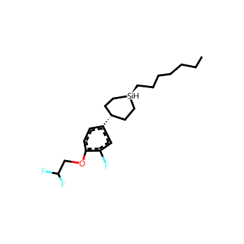 CCCCCCC[Si@H]1CC[C@H](c2ccc(OCC(F)F)c(F)c2)CC1